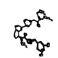 CCN(CC)C(=O)CN1CC=C(c2ccc3c(c2)C(N(C)C(=O)OCc2cc(Cl)cc(Cl)c2)CC3)CC1